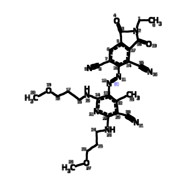 CCN1C(=O)c2cc(C#N)c(/N=N/c3c(NCCCOC)nc(NCCCOC)c(C#N)c3C)c(C#N)c2C1=O